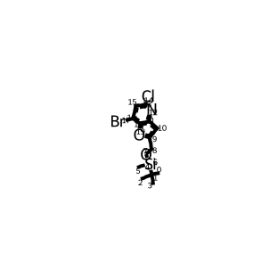 CC(C)(C)[Si](C)(C)OCc1cc2nc(Cl)cc(Br)c2o1